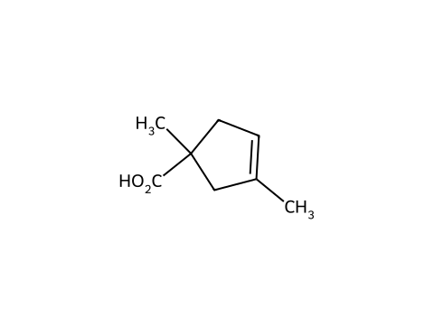 CC1=CCC(C)(C(=O)O)C1